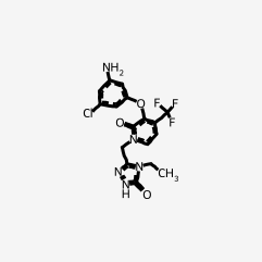 CCn1c(Cn2ccc(C(F)(F)F)c(Oc3cc(N)cc(Cl)c3)c2=O)n[nH]c1=O